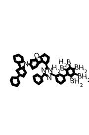 Bc1c(B)c(B)c(-c2cccc(-c3nc(-c4ccccc4)nc(-c4cccc5oc6cc(-n7c8ccccc8c8cc(-c9ccccc9)ccc87)ccc6c45)n3)c2)c(B)c1B